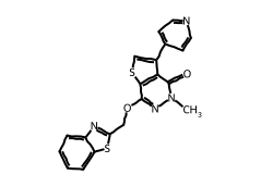 Cn1nc(OCc2nc3ccccc3s2)c2scc(-c3ccncc3)c2c1=O